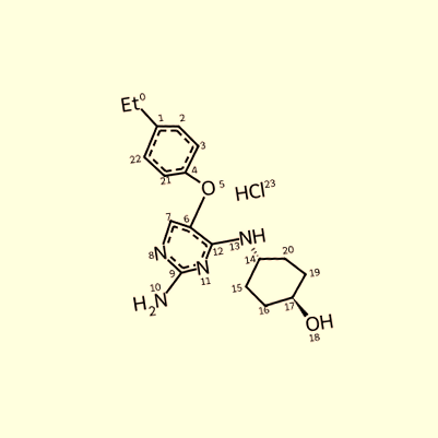 CCc1ccc(Oc2cnc(N)nc2N[C@H]2CC[C@H](O)CC2)cc1.Cl